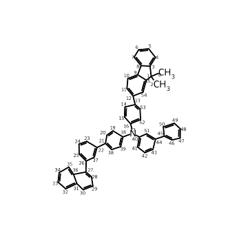 CC1(C)c2ccccc2-c2ccc(-c3ccc(N(c4ccc(-c5cccc(-c6cccc7ccccc67)c5)cc4)c4cccc(-c5ccccc5)c4)cc3)cc21